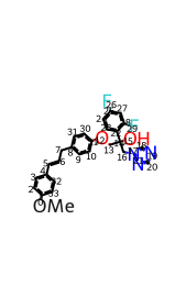 COc1ccc(C=CCc2ccc(OC[C@@](O)(Cn3cncn3)c3ccc(F)cc3F)cc2)cc1